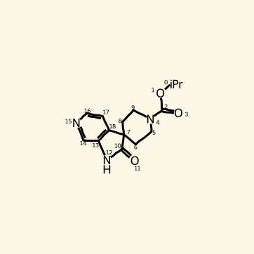 CC(C)OC(=O)N1CCC2(CC1)C(=O)Nc1cnccc12